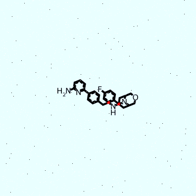 Nc1cccc(-c2ccc(CCNC3CC4COCC(C3)N4Cc3ccc(F)cc3)cc2)n1